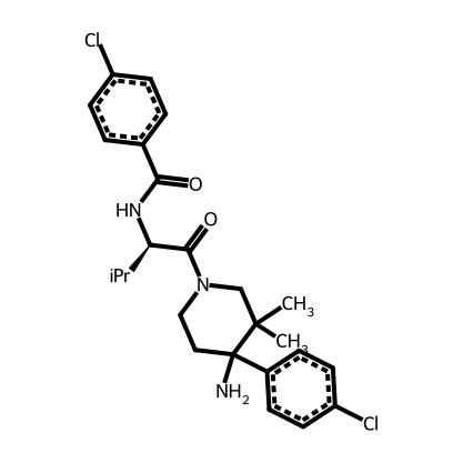 CC(C)[C@@H](NC(=O)c1ccc(Cl)cc1)C(=O)N1CCC(N)(c2ccc(Cl)cc2)C(C)(C)C1